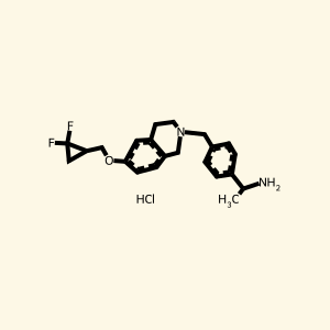 CC(N)c1ccc(CN2CCc3cc(OCC4CC4(F)F)ccc3C2)cc1.Cl